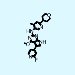 COc1nc(Nc2cnc(C3CCOCC3)cc2C)nc2[nH]cc(-c3ccnc(F)c3)c12